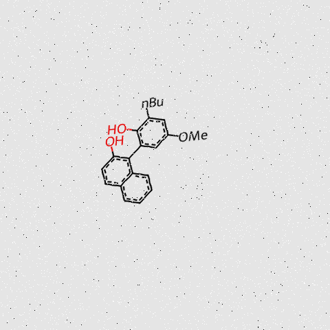 CCCCc1cc(OC)cc(-c2c(O)ccc3ccccc23)c1O